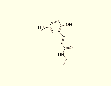 CCNC(=O)C=Cc1cc(N)ccc1O